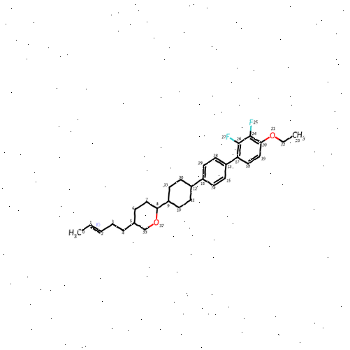 C/C=C/CCC1CCC(C2CCC(c3ccc(-c4ccc(OCC)c(F)c4F)cc3)CC2)OC1